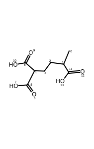 CC(CCC(C(=O)O)C(=O)O)C(=O)O